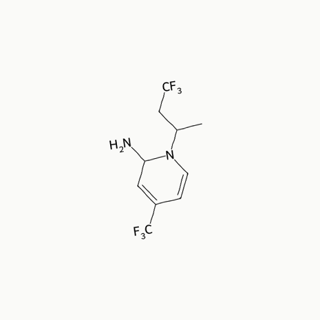 CC(CC(F)(F)F)N1C=CC(C(F)(F)F)=CC1N